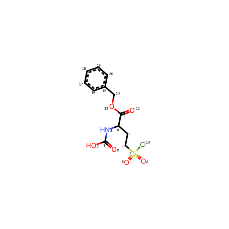 O=C(O)NC(CCS(=O)(=O)Cl)C(=O)OCc1ccccc1